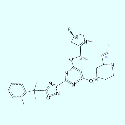 C/C=C/C1=NCC[C@H](Oc2cc(O[C@@H](C)C3=[N+](C)C[C@H](F)C3)nc(-c3noc(C(C)(C)c4ccccc4C)n3)n2)C1